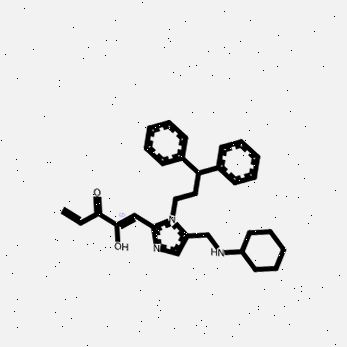 C=CC(=O)/C(O)=C/c1ncc(CNC2CCCCC2)n1CCC(c1ccccc1)c1ccccc1